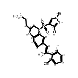 CCn1cc(S(=O)(=O)N2CC(CCC(=O)O)Oc3ccc(C=C(C)c4c(F)cccc4Cl)cc32)c(Cl)n1